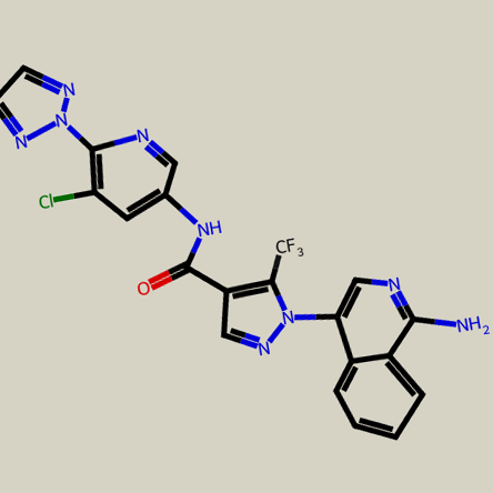 Nc1ncc(-n2ncc(C(=O)Nc3cnc(-n4nccn4)c(Cl)c3)c2C(F)(F)F)c2ccccc12